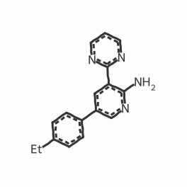 CCc1ccc(-c2cnc(N)c(-c3ncccn3)c2)cc1